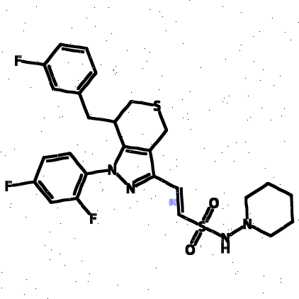 O=S(=O)(/C=C/c1nn(-c2ccc(F)cc2F)c2c1CSCC2Cc1cccc(F)c1)NN1CCCCC1